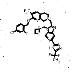 CC(F)(F)c1nnc(-c2cc3nc(CN4CCc5cc(C(F)(F)F)c(OCc6ccc(Cl)cc6F)nc5C4)n(C[C@@H]4CCO4)c3cn2)[nH]1